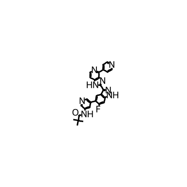 CC(C)(C)C(=O)Nc1cncc(-c2cc3c(-c4nc5c(-c6ccncc6)nccc5[nH]4)n[nH]c3cc2F)c1